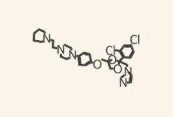 Clc1ccc(C2(Cn3ccnc3)OCC(COc3ccc(N4CCN(CCN5CCCCC5)CC4)cc3)O2)c(Cl)c1